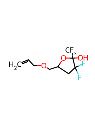 C=CCOCC1CC(F)(F)C(O)(C(F)(F)F)O1